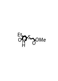 CCc1cc(SCCC(=O)OC)c[nH]c1=O